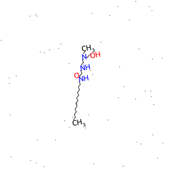 CCCCCCCCCCCCCCCCNC(=O)CCNCCCN(CCC)CCO